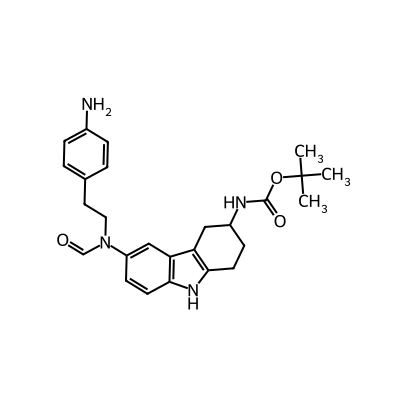 CC(C)(C)OC(=O)NC1CCc2[nH]c3ccc(N(C=O)CCc4ccc(N)cc4)cc3c2C1